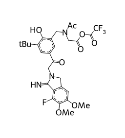 COc1cc2c(c(F)c1OC)C(=N)N(CC(=O)c1cc(CN(CC(=O)OC(=O)C(F)(F)F)C(C)=O)c(O)c(C(C)(C)C)c1)C2